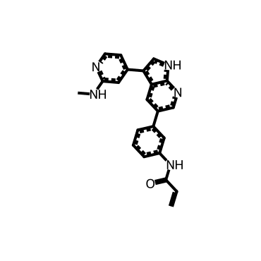 C=CC(=O)Nc1cccc(-c2cnc3[nH]cc(-c4ccnc(NC)c4)c3c2)c1